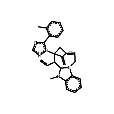 C=CC1C2N(C)c3ccccc3N2C/C=C2/CC1(n1ncnc1-c1ccccc1C)C2=C